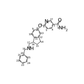 NC(=O)c1ccc(Oc2ccc3c(c2)CCC3CNCc2ccccc2)nc1